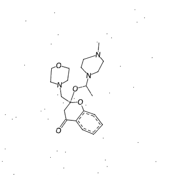 CC(OC1(CN2CCOCC2)CC(=O)c2ccccc2O1)N1CCN(C)CC1